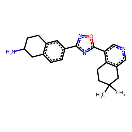 CC1(C)CCc2c(cncc2-c2nc(-c3ccc4c(c3)CCC(N)C4)no2)C1